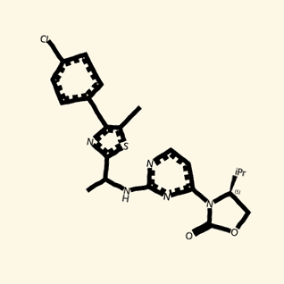 Cc1sc(C(C)Nc2nccc(N3C(=O)OC[C@@H]3C(C)C)n2)nc1-c1ccc(Cl)cc1